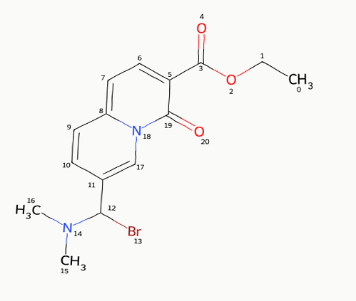 CCOC(=O)c1ccc2ccc(C(Br)N(C)C)cn2c1=O